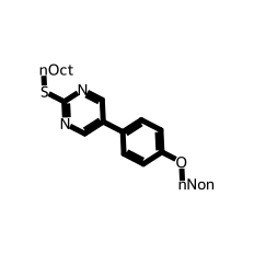 CCCCCCCCCOc1ccc(-c2cnc(SCCCCCCCC)nc2)cc1